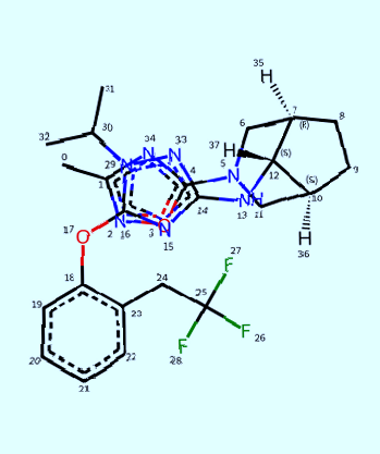 Cc1noc(N2C[C@H]3CC[C@@H](C2)[C@@H]3Nc2nc(Oc3ccccc3CC(F)(F)F)n(C(C)C)n2)n1